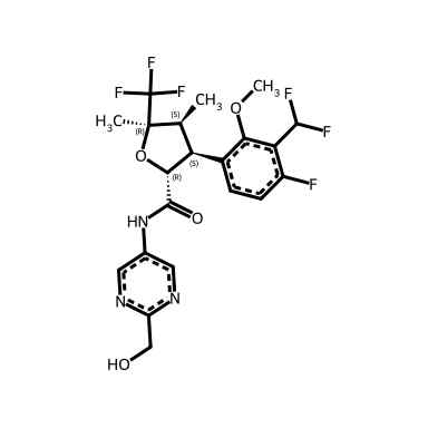 COc1c([C@H]2[C@H](C(=O)Nc3cnc(CO)nc3)O[C@@](C)(C(F)(F)F)[C@H]2C)ccc(F)c1C(F)F